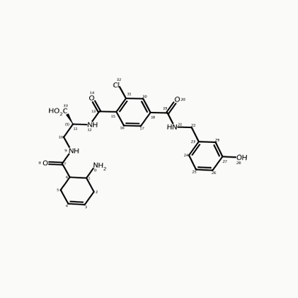 NC1CC=CCC1C(=O)NC[C@H](NC(=O)c1ccc(C(=O)NCc2cccc(O)c2)cc1Cl)C(=O)O